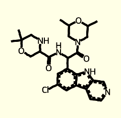 CC1CN(C(=O)C(NC(=O)C2COC(C)(C)CN2)c2cc(Cl)cc3c2[nH]c2cnccc23)CC(C)O1